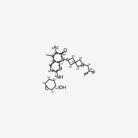 CC(=O)c1c(C)c2cnc(N[C@H]3CCOC[C@H]3O)nc2n(C2CC3(C2)CN(CC(F)F)C3)c1=O